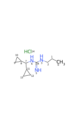 CCCNC(=N)NC(C1CC1)C1CC1.Cl